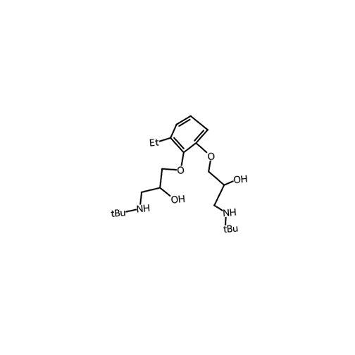 CCc1cccc(OCC(O)CNC(C)(C)C)c1OCC(O)CNC(C)(C)C